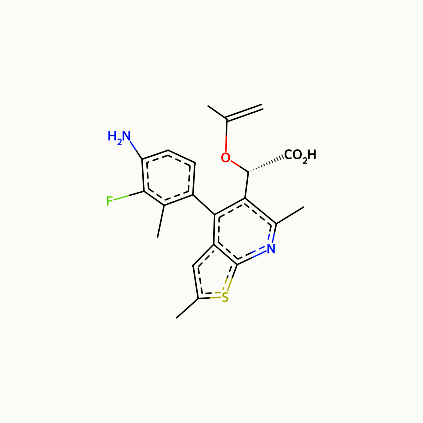 C=C(C)O[C@H](C(=O)O)c1c(C)nc2sc(C)cc2c1-c1ccc(N)c(F)c1C